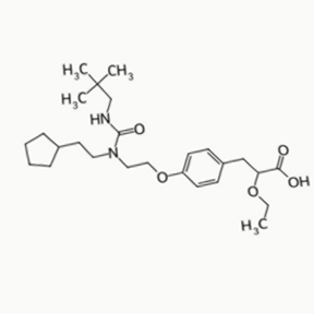 CCOC(Cc1ccc(OCCN(CCC2CCCC2)C(=O)NCC(C)(C)C)cc1)C(=O)O